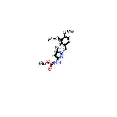 COc1ccc(Cn2nc(NC(=O)OC(C)(C)C)cc2[N+](=O)[O-])cc1OC